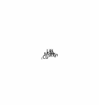 [Al].[Cu].[LiH].[MgH2].[Zn]